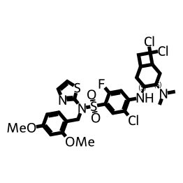 COc1ccc(CN(c2nccs2)S(=O)(=O)c2cc(Cl)c(N[C@H]3CC4CC(Cl)(Cl)C4C[C@@H]3N(C)C)cc2F)c(OC)c1